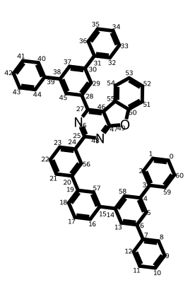 c1ccc(-c2cc(-c3ccccc3)cc(-c3cccc(-c4cccc(-c5nc(-c6cc(-c7ccccc7)cc(-c7ccccc7)c6)c6c(n5)oc5ccccc56)c4)c3)c2)cc1